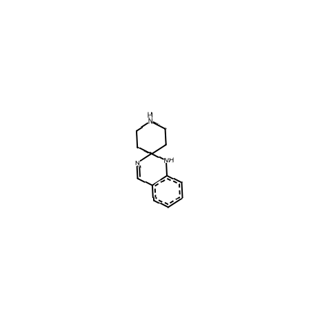 C1=NC2(CCNCC2)Nc2ccccc21